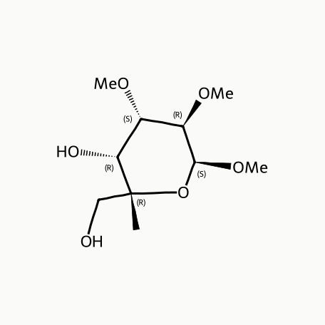 CO[C@H]1O[C@](C)(CO)[C@H](O)[C@H](OC)[C@H]1OC